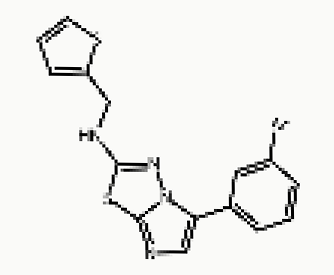 CC(=O)c1cccc(-c2cnc3sc(NCc4cccs4)nn23)c1